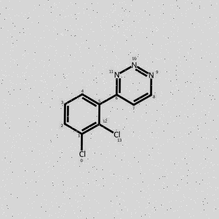 Clc1cccc(-c2ccnnn2)c1Cl